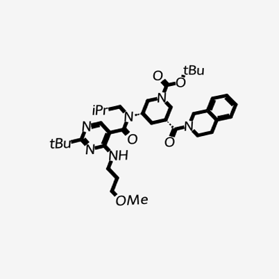 COCCCNc1nc(C(C)(C)C)ncc1C(=O)N(CC(C)C)[C@H]1C[C@@H](C(=O)N2CCc3ccccc3C2)CN(C(=O)OC(C)(C)C)C1